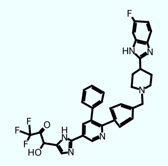 O=C(C(O)c1cnc(-c2cnc(-c3ccc(CN4CCC(c5nc6ccc(F)cc6[nH]5)CC4)cc3)c(-c3ccccc3)c2)[nH]1)C(F)(F)F